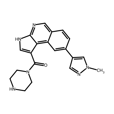 Cn1cc(-c2ccc3cnc4[nH]cc(C(=O)N5CCNCC5)c4c3c2)cn1